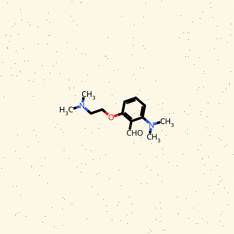 CN(C)CCOc1cccc(N(C)C)c1C=O